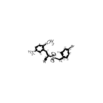 Cc1ccc(C)c(/C=C(\C#N)S(=O)(=O)Cc2ccc(Br)cc2)c1